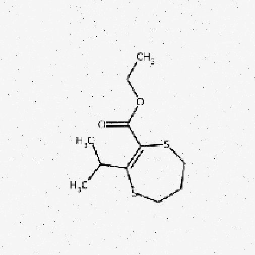 CCOC(=O)C1=C(C(C)C)SCCCS1